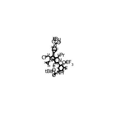 CC(C)c1nc(-c2cc(NC(=O)OC(C)(C)C)cc(F)c2OC(F)(F)F)c(F)c2c1c(C1C3CN(C(=O)OC(C)(C)C)CC31)c(CCl)n2C1CC1